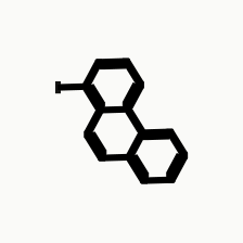 Ic1cccc2c1ccc1ccccc12